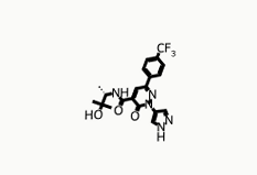 C[C@H](NC(=O)c1cc(-c2ccc(C(F)(F)F)cc2)nn(-c2cn[nH]c2)c1=O)C(C)(C)O